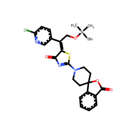 CC(C)(C)[Si](C)(C)OC/C(=C1\SC(N2CCC3(CC2)OC(=O)c2ccccc23)=NC1=O)c1ccc(Cl)nc1